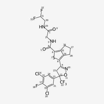 O=C(CNC(=O)c1sc(C2=NOC(c3cc(Cl)c(F)c(Cl)c3)(C(F)(F)F)C2)c2c1CCC2)NCC(F)F